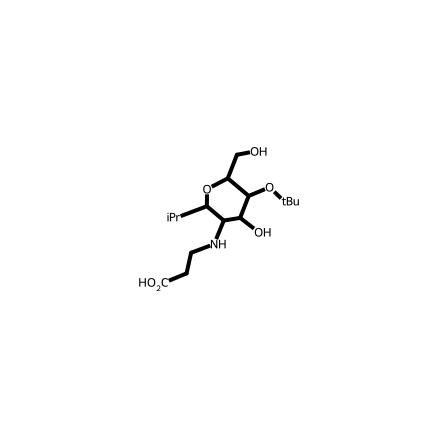 CC(C)C1OC(CO)C(OC(C)(C)C)C(O)C1NCCC(=O)O